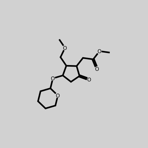 COCC1C(OC2CCCCO2)CC(=O)C1CC(=O)OC